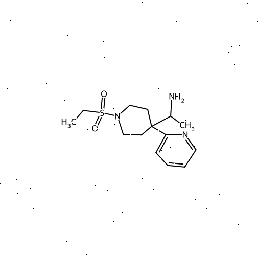 CCS(=O)(=O)N1CCC(c2ccccn2)(C(C)N)CC1